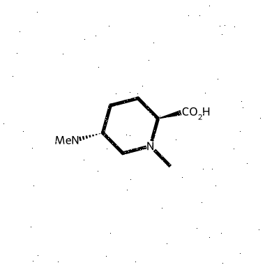 CN[C@@H]1CC[C@@H](C(=O)O)N(C)C1